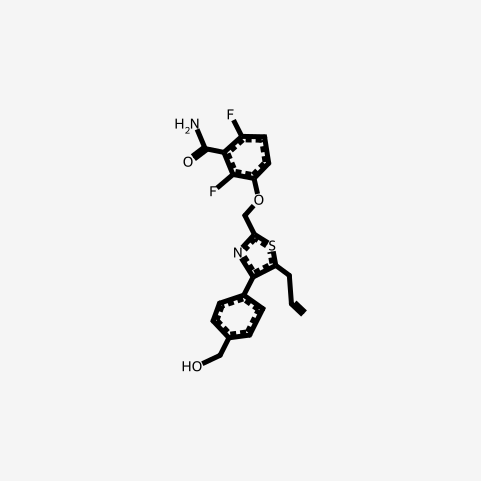 C=CCc1sc(COc2ccc(F)c(C(N)=O)c2F)nc1-c1ccc(CO)cc1